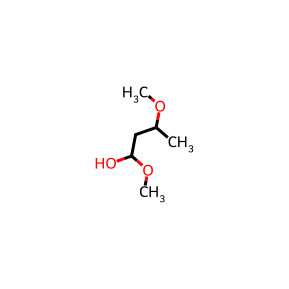 COC(C)CC(O)OC